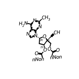 C#C[C@]1(COC(=O)CCCCCCCCC)O[C@@H](n2cnc3c(N)nc(C)nc32)C[C@@H]1OC(=O)CCCCCCCCC